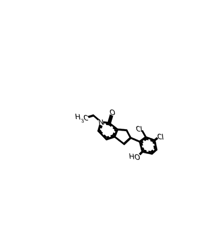 CCn1ccc2c(c1=O)CC(c1c(O)ccc(Cl)c1Cl)C2